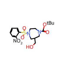 CC(C)(C)OC(=O)N1CCN(S(=O)(=O)c2ccccc2[N+](=O)[O-])CC(CO)C1